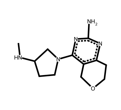 CNC1CCN(c2nc(N)nc3c2COCC3)C1